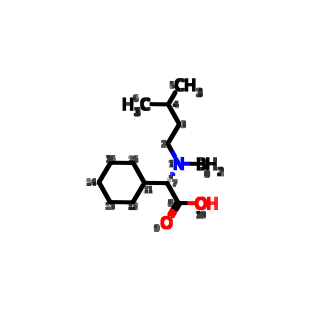 BN(CCC(C)C)[C@H](C(=O)O)C1CCCCC1